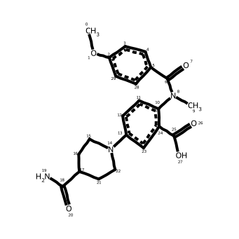 COc1ccc(C(=O)N(C)c2ccc(N3CCC(C(N)=O)CC3)cc2C(=O)O)cc1